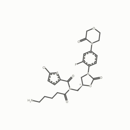 NCCCCC(=O)N(C[C@H]1CN(c2ccc(N3CCOCC3=O)cc2F)C(=O)O1)C(=O)c1ccc(Cl)s1